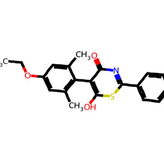 Cc1cc(OCC(F)(F)F)cc(C)c1-c1c(O)sc(-c2ccccc2)nc1=O